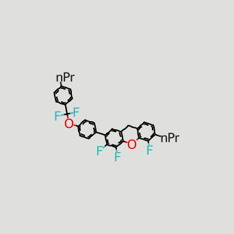 CCCc1ccc(C(F)(F)Oc2ccc(-c3cc4c(c(F)c3F)Oc3c(ccc(CCC)c3F)C4)cc2)cc1